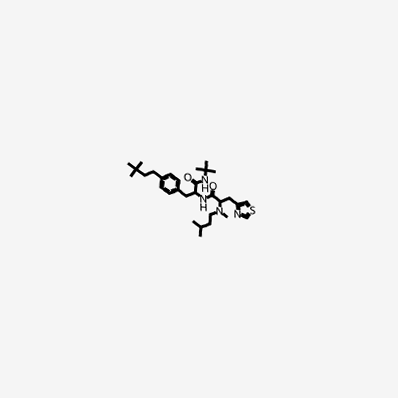 CC(C)CCN(C)C(Cc1cscn1)C(=O)NC(Cc1ccc(CCC(C)(C)C)cc1)C(=O)NC(C)(C)C